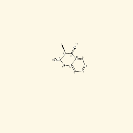 C[C@@H]1C(=O)Sc2ccccc2C1=O